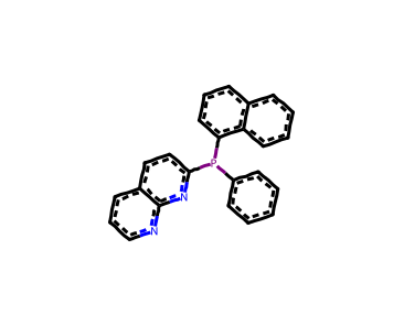 c1ccc(P(c2ccc3cccnc3n2)c2cccc3ccccc23)cc1